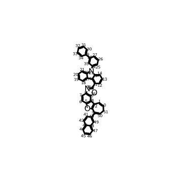 C1=Cc2c(oc3ccc4nc(-c5cccc6c5c5ccccc5n6-c5cccc(-c6ccccc6)c5)oc4c23)C(c2ccc3ccccc3c2)=CC1